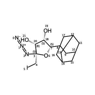 [N-]=[N+]=N[C@]1(CI)O[C@@H](C23CC4CC(CC(C4)C2)C3)[C@@H](O)[C@H]1O